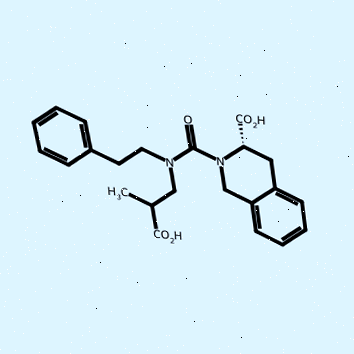 CC(CN(CCc1ccccc1)C(=O)N1Cc2ccccc2C[C@H]1C(=O)O)C(=O)O